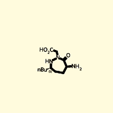 CCCC[C@H]1CCC(N)C(=O)N(CC(=O)O)N1